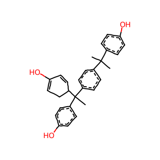 CC(C)(c1ccc(O)cc1)c1ccc(C(C)(c2ccc(O)cc2)C2C=CC(O)=CC2)cc1